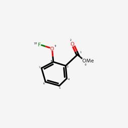 COC(=O)c1ccccc1OF